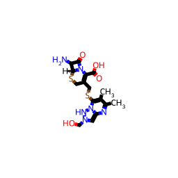 CC1=NC2=CN(CO)NN2C(SCC2=C(C(=O)O)N3C(=O)C(N)[C@H]3SC2)=C1C